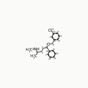 CNC(C)CCC(OCc1cccc(Cl)c1)c1ccccc1